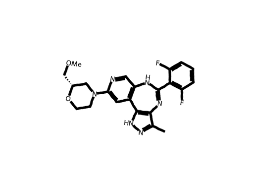 COC[C@@H]1CN(c2cc3c(cn2)NC(c2c(F)cccc2F)=Nc2c(C)n[nH]c2-3)CCO1